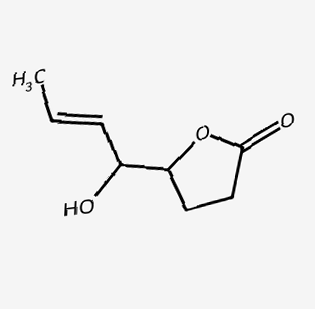 CC=CC(O)C1CCC(=O)O1